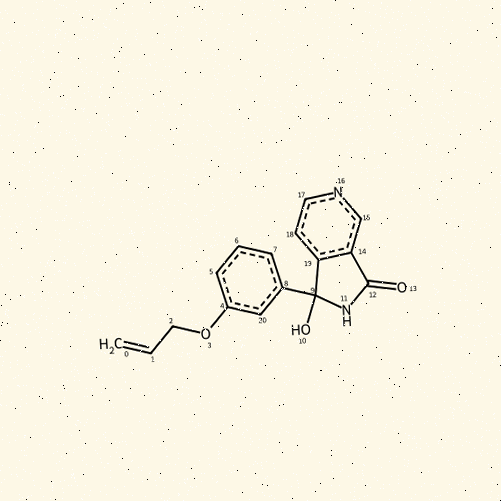 C=CCOc1cccc(C2(O)NC(=O)c3cnccc32)c1